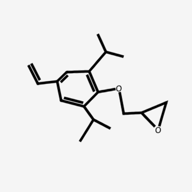 C=Cc1cc(C(C)C)c(OCC2CO2)c(C(C)C)c1